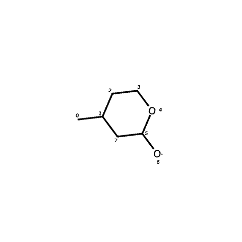 CC1CCOC([O])C1